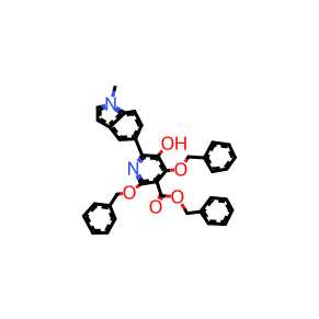 Cn1ccc2cc(-c3nc(OCc4ccccc4)c(C(=O)OCc4ccccc4)c(OCc4ccccc4)c3O)ccc21